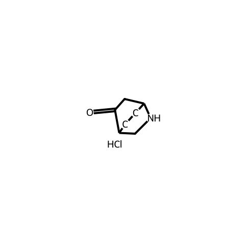 Cl.O=C1CC2CCC1CN2